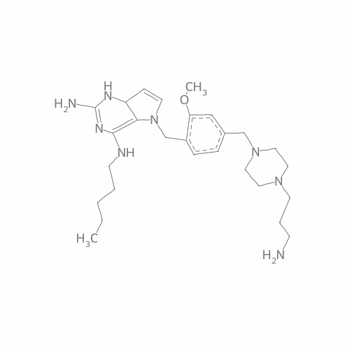 CCCCCNC1=C2C(C=CN2Cc2ccc(CN3CCN(CCCN)CC3)cc2OC)NC(N)=N1